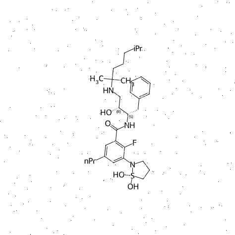 CCCc1cc(C(=O)N[C@@H](Cc2ccccc2)[C@H](O)CNC(C)(C)CCCC(C)C)c(F)c(N2CCCS2(O)O)c1